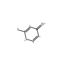 Cc1cc(=O)ccs1